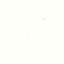 CCC(C)c1cccc(C(C)CC)c1OP(=O)(COC)N[C@@H](C)C(=O)OC(C)C1CC1